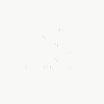 CCOC(=O)N(N)c1nc(O)nc2ccc(Cl)cc12